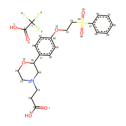 O=C(O)C(F)(F)F.O=C(O)CCN1CCOC(c2ccc(OCCS(=O)(=O)c3ccccc3)cc2)C1